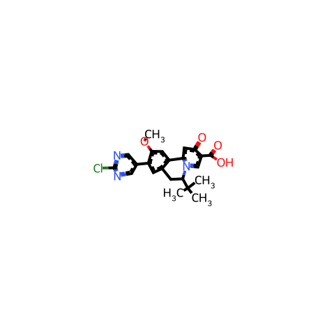 COc1cc2c(cc1-c1cnc(Cl)nc1)CC(C(C)(C)C)n1cc(C(=O)O)c(=O)cc1-2